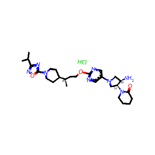 CC(C)c1noc(N2CCC([C@H](C)CCOc3ncc(N4C[C@@H](N)[C@@H](N5CCCCC5=O)C4)cn3)CC2)n1.Cl